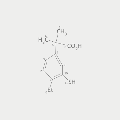 CCc1ccc(C(C)(C)C(=O)O)cc1S